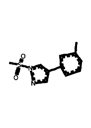 Cc1cccc(-c2cnn(S(C)(=O)=O)c2)c1